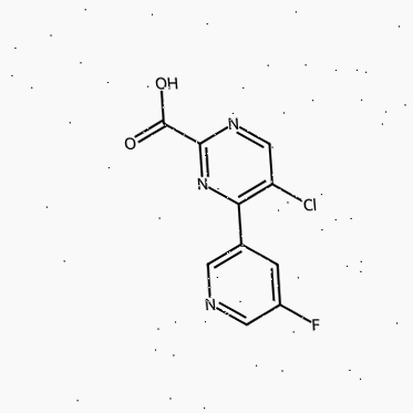 O=C(O)c1ncc(Cl)c(-c2cncc(F)c2)n1